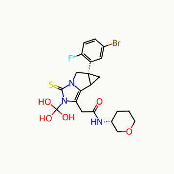 O=C(Cc1c2n(c(=S)n1C(O)(O)O)C[C@@]1(c3cc(Br)ccc3F)CC21)N[C@@H]1CCCOC1